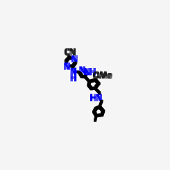 COc1cc(CNCc2ccc(C)cc2)ccc1-c1cc(Nc2cnc(C#N)cn2)n[nH]1